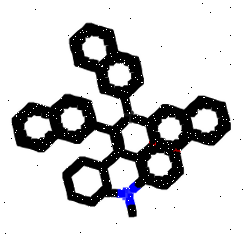 CN(C)c1ccccc1/C(=C(\B(c1ccc2ccccc2c1)c1ccc2ccccc2c1)c1ccc2ccccc2c1)C1CCCCC1